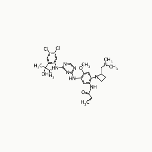 C=CC(=O)Nc1cc(Nc2ncnc(Nc3cc(Cl)c(Cl)cc3C(C)(C)O)n2)c(OC)cc1N1CCC1CN(C)C